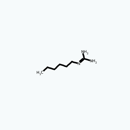 CCCCCCN=C(N)N